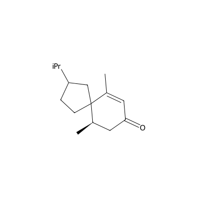 CC1=CC(=O)C[C@@H](C)C12CCC(C(C)C)C2